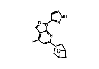 Ic1cc(N2CC3CC(C2)O3)nc2c1cnn2-c1cc[nH]n1